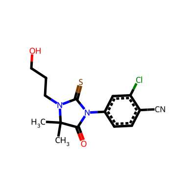 CC1(C)C(=O)N(c2ccc(C#N)c(Cl)c2)C(=S)N1CCCO